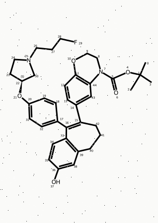 CC(C)(C)OC(=O)N1CCOc2ccc(C3=C(c4ccc(O[C@H]5CCN(CCCF)C5)cc4)c4ccc(O)cc4CCC3)cc21